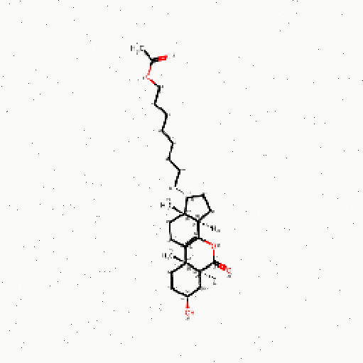 CC(=O)OCCCCCCCC[C@@H]1CC[C@H]2C3=C(CC[C@]12C)[C@@]1(C)CC[C@H](O)C[C@@H]1C(=O)O3